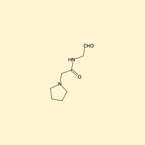 O=[C]CNC(=O)CN1CCCC1